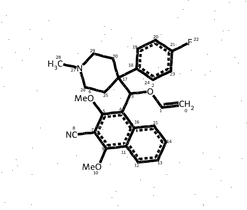 C=COC(c1c(OC)c(C#N)c(OC)c2ccccc12)C1(c2ccc(F)cc2)CCN(C)CC1